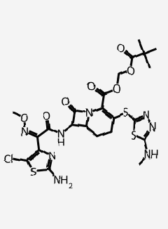 CNc1nnc(SC2=C(C(=O)OCOC(=O)C(C)(C)C)N3C(=O)C(NC(=O)/C(=N\OC)c4nc(N)sc4Cl)C3CC2)s1